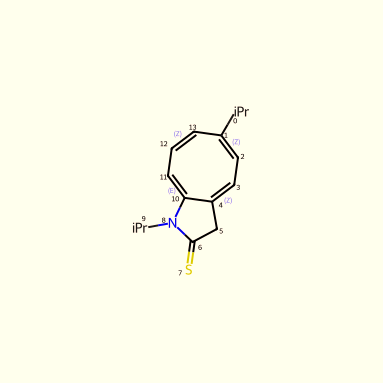 CC(C)C1=C/C=C2/CC(=S)N(C(C)C)/C2=C/C=C\1